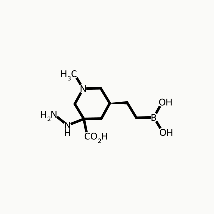 CN1C[C@@H](CCB(O)O)CC(NN)(C(=O)O)C1